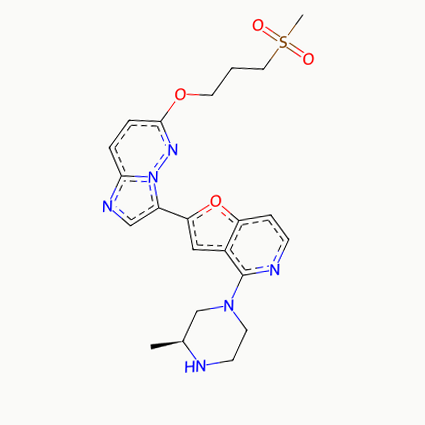 C[C@H]1CN(c2nccc3oc(-c4cnc5ccc(OCCCS(C)(=O)=O)nn45)cc23)CCN1